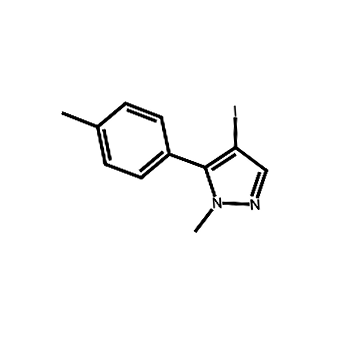 Cc1ccc(-c2c(I)cnn2C)cc1